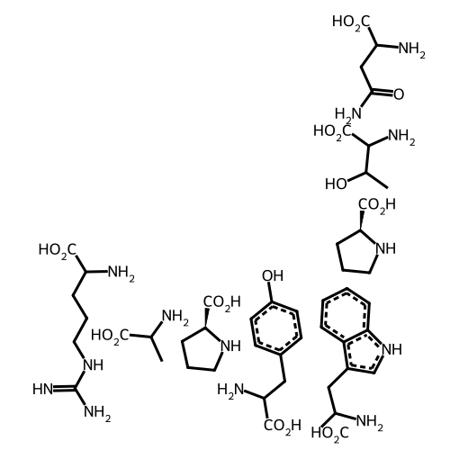 CC(N)C(=O)O.CC(O)C(N)C(=O)O.N=C(N)NCCCC(N)C(=O)O.NC(=O)CC(N)C(=O)O.NC(Cc1c[nH]c2ccccc12)C(=O)O.NC(Cc1ccc(O)cc1)C(=O)O.O=C(O)[C@@H]1CCCN1.O=C(O)[C@@H]1CCCN1